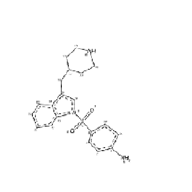 Nc1ccc(S(=O)(=O)n2cc(CC3CCNCC3)c3ccccc32)cc1